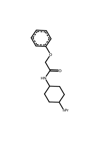 CCCC1CCC(NC(=O)COc2ccccc2)CC1